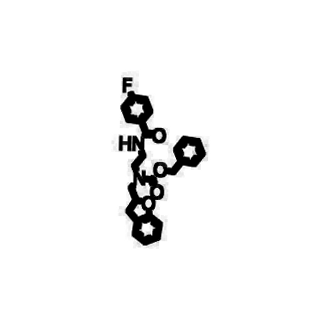 O=C(NCCN(CC1Cc2ccccc2O1)C(=O)OCc1ccccc1)c1ccc(F)cc1